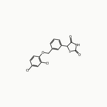 O=C1NC(=O)C(c2cccc(COc3ccc(Cl)cc3Cl)c2)S1